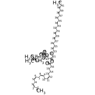 CC/C=C\C/C=C\C/C=C\C/C=C\CCCCC(=O)O[C@H](COCCCCCCCCCCCCCCCCCCCC)COP(=O)([O-])OCC[N+](C)(C)C